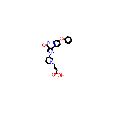 NC(=O)c1cn([C@@H]2CCCN(C/C=C/C(=O)O)C2)nc1-c1ccc(Oc2ccccc2)cc1